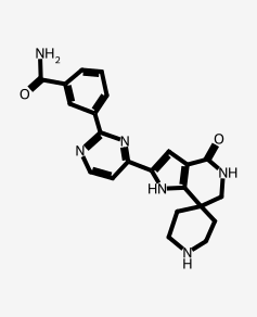 NC(=O)c1cccc(-c2nccc(-c3cc4c([nH]3)C3(CCNCC3)CNC4=O)n2)c1